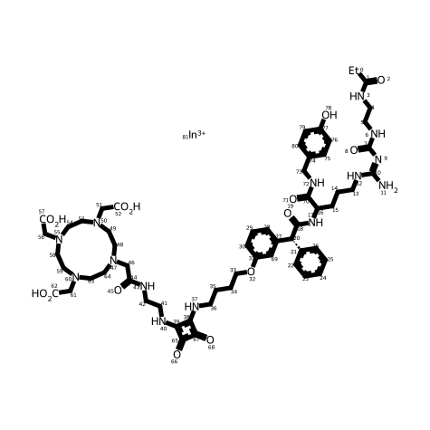 CCC(=O)NCCNC(=O)/N=C(/N)NCCCC(NC(=O)[C@H](c1ccccc1)c1cccc(OCCCCNc2c(NCCNC(=O)CN3CCN(CC(=O)O)CCN(CC(=O)O)CCN(CC(=O)O)CC3)c(=O)c2=O)c1)C(=O)NCc1ccc(O)cc1.[In+3]